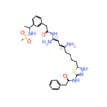 CC(NS(C)(=O)=O)c1cccc(CC(=O)N/C(N)=C/C=C(\N)CCCCC2NN=C(NC(=O)Cc3ccccc3)S2)c1